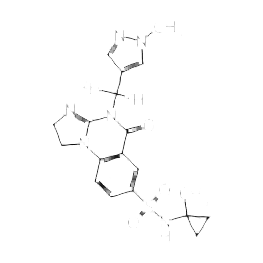 [2H]C([2H])(c1cnn(C)c1)N1C(=O)c2cc(S(=O)(=O)NC3(C)CC3)ccc2N2CCN=C21